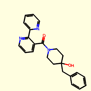 O=C(c1cccnc1-c1ccccn1)N1CCC(O)(Cc2ccccc2)CC1